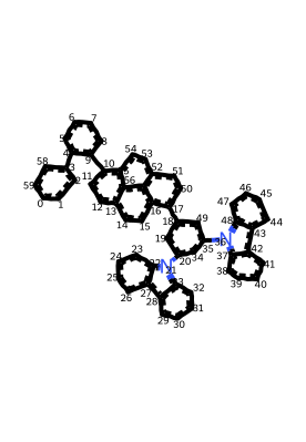 c1ccc(-c2ccccc2-c2ccc3ccc4c(-c5cc(-n6c7ccccc7c7ccccc76)cc(-n6c7ccccc7c7ccccc76)c5)ccc5ccc2c3c54)cc1